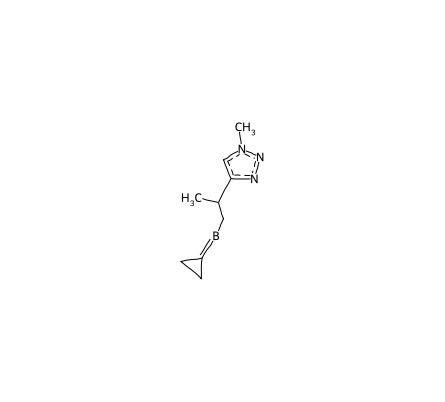 CC(CB=C1CC1)c1cn(C)nn1